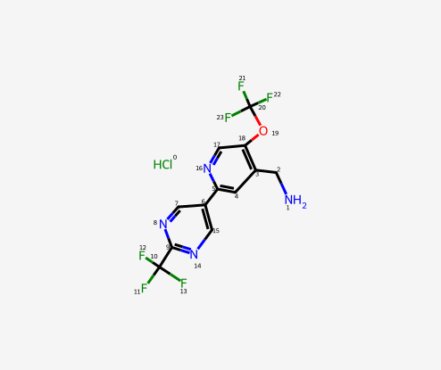 Cl.NCc1cc(-c2cnc(C(F)(F)F)nc2)ncc1OC(F)(F)F